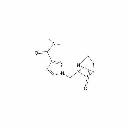 CN(C)C(=O)c1ncn(CC2C(=O)C3CCN2CC3)n1